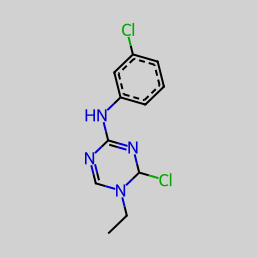 CCN1C=NC(Nc2cccc(Cl)c2)=NC1Cl